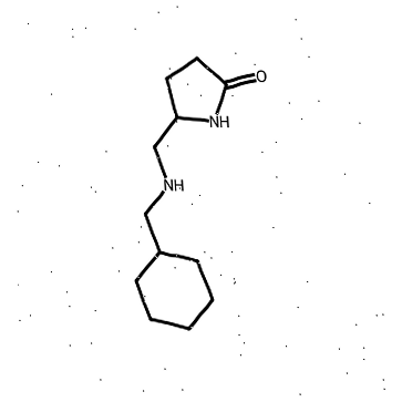 O=C1CCC(CNCC2CCCCC2)N1